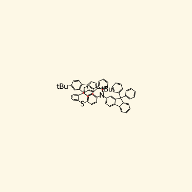 CC(C)(C)c1ccc2c(c1)C1(c3ccccc3Sc3ccc(N(c4ccc5c(c4)C(c4ccccc4)(c4ccccc4)c4ccccc4-5)c4ccccc4-c4ccccc4)cc31)c1cc(C(C)(C)C)ccc1-2